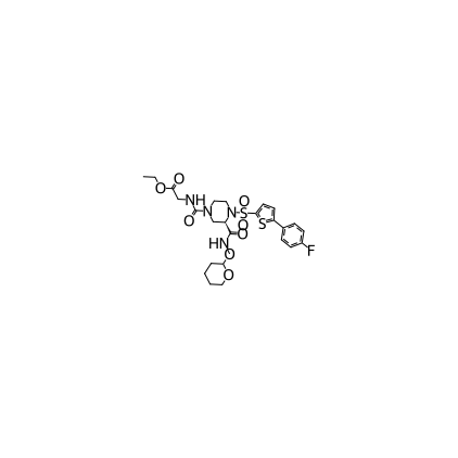 CCOC(=O)CNC(=O)N1CCN(S(=O)(=O)c2ccc(-c3ccc(F)cc3)s2)[C@@H](C(=O)NOC2CCCCO2)C1